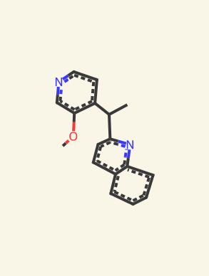 COc1cnccc1C(C)c1ccc2ccccc2n1